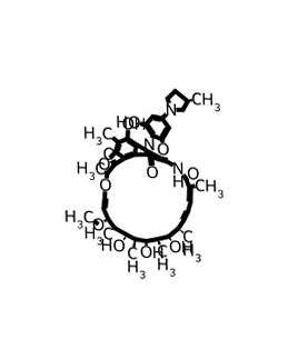 CO[C@H]1/C=C/O[C@@]2(C)Oc3c(C)c(O)c4c(=O)c(c5oc6cc(N7CC[C@@H](C)C7)cc(O)c6nc-5c4c3C2=O)NC(=O)/C(C)=C\C=C\[C@H](C)[C@H](O)[C@@H](C)[C@@H](O)[C@@H](C)[C@H](O)[C@@H]1C